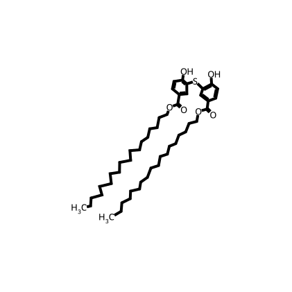 CCCCCCCCCCCCCCCCCCOC(=O)c1ccc(O)c(Sc2cc(C(=O)OCCCCCCCCCCCCCCCCCC)ccc2O)c1